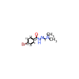 CN(C)C=NNC(=O)c1ccc(Br)cc1